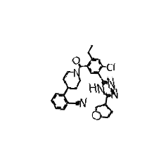 CCc1cc(Cl)c(-c2nnc(C3CCOC3)[nH]2)cc1C(=O)N1CCC(c2ccccc2C#N)CC1